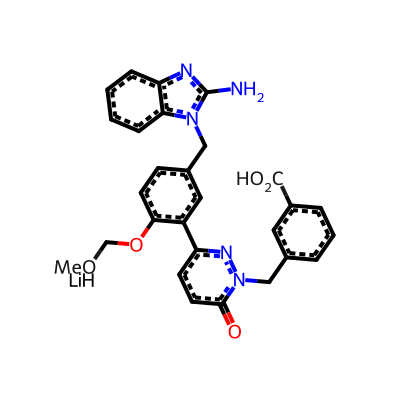 COCOc1ccc(Cn2c(N)nc3ccccc32)cc1-c1ccc(=O)n(Cc2cccc(C(=O)O)c2)n1.[LiH]